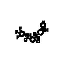 C[C@H]1CC2C[C@@H](S(=O)(=O)c3cc(C(=O)Nc4cc(F)c(F)c(F)c4)ccc3Cl)CC1[C@@]2(O)c1ccncc1